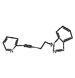 C(#Cc1ccccn1)CCn1ncc2ccccc21